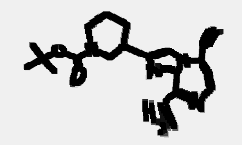 CC(C)(C)OC(=O)N1CCCC(c2cn3c(Br)cnc(N)c3n2)C1